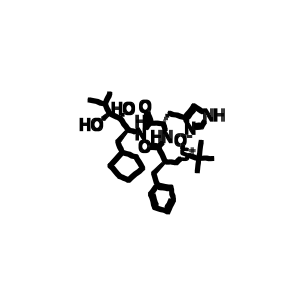 CC(C)[C@H](O)[C@H](O)[C@H](CC1CCCCC1)NC(=O)[C@H](Cc1c[nH]cn1)NC(=O)[C@H](Cc1ccccc1)C[S+]([O-])C(C)(C)C